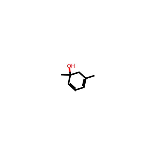 CC1=C[C]=CC(C)(O)[CH]1